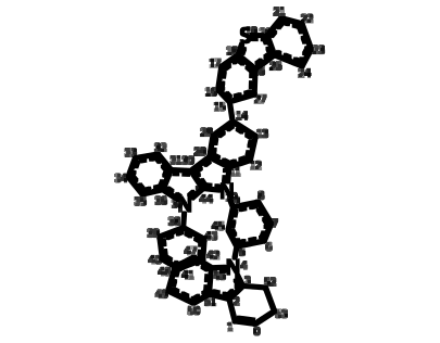 C1=Cc2c(n(-c3cccc(-n4c5ccc(-c6ccc7sc8ccccc8c7c6)cc5c5c6ccccc6n(-c6ccccc6)c54)c3)c3ccccc23)CC1